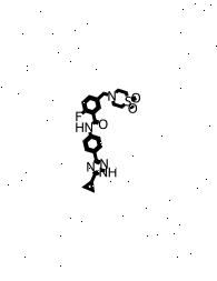 O=C(Nc1ccc(-c2n[nH]c(C3CC3)n2)cc1)c1cc(CN2CCS(=O)(=O)CC2)ccc1F